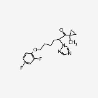 CC1(C(=O)C(CCCCOc2ccc(F)cc2F)n2cncn2)CC1